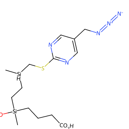 C[SiH](CC[Si](C)(O)CCCC(=O)O)CSc1ncc(CN=[N+]=[N-])cn1